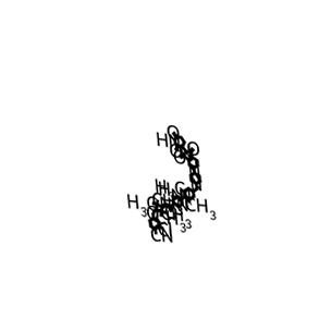 C[C@H]1CC(CN2CCN(c3ccc4c(c3)C(=O)N(C3CCC(=O)NC3=O)C4=O)CC2)C[C@H](C)N1c1ncc(C(=O)NC2C(C)(C)C(Oc3ccc(C#N)c(Cl)c3)C2(C)C)cn1